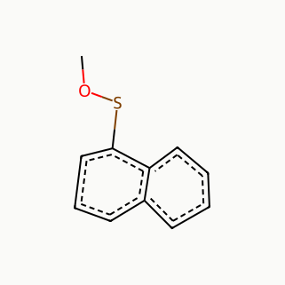 COSc1cccc2ccccc12